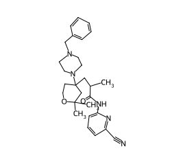 CC(CC1(N2CCN(Cc3ccccc3)CC2)CCOC(C)(C)C1)C(=O)Nc1cccc(C#N)n1